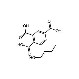 CCCCO.O=C(O)c1ccc(C(=O)O)c(C(=O)O)c1